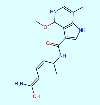 COC1NC=C(C)c2[nH]cc(C(=O)NC(C)/C=C\C=C(/N)O)c21